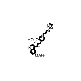 COc1ccc2nccc([C@H](F)CC[C@@H]3CCN(CCCSc4nccs4)C[C@@H]3C(=O)O)c2c1